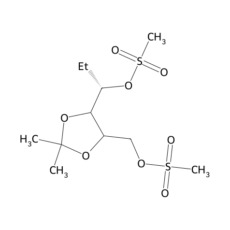 CC[C@H](OS(C)(=O)=O)C1OC(C)(C)OC1COS(C)(=O)=O